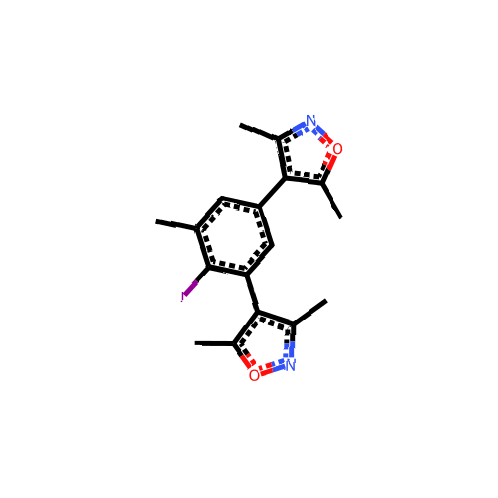 Cc1cc(-c2c(C)noc2C)cc(-c2c(C)noc2C)c1I